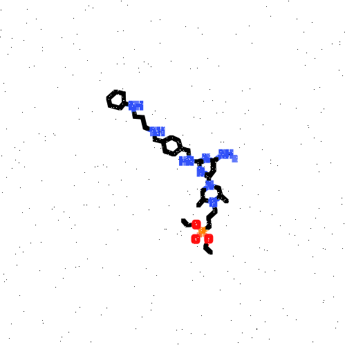 CCOP(=O)(CCCN1C(C)CN(c2cc(N)nc(NCC3CCC(CNCCCNC4CCCCC4)CC3)n2)CC1C)OCC